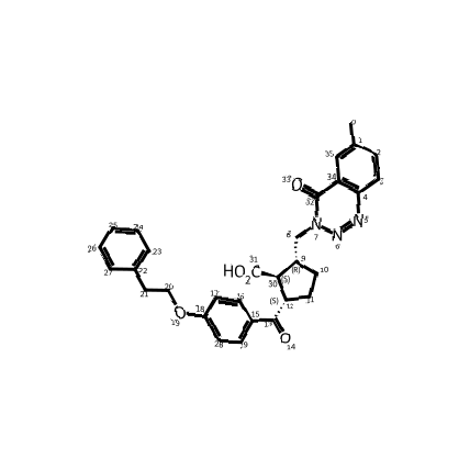 Cc1ccc2nnn(C[C@@H]3CC[C@H](C(=O)c4ccc(OCCc5ccccc5)cc4)[C@H]3C(=O)O)c(=O)c2c1